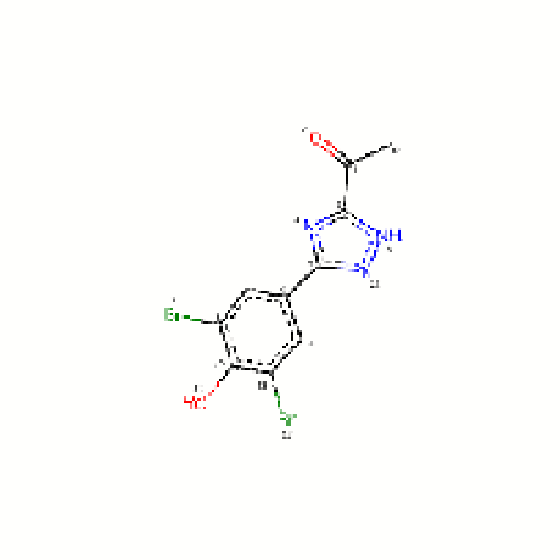 CC(=O)c1nc(-c2cc(Br)c(O)c(Br)c2)n[nH]1